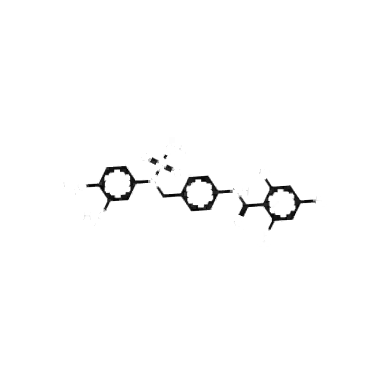 Cc1ccc(N(Cc2ccc(NC(=O)c3c(F)cc(F)cc3F)cc2)S(C)(=O)=O)cc1C